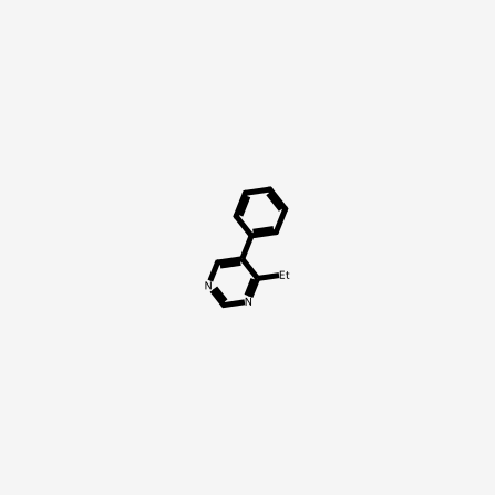 CCc1ncncc1-c1ccccc1